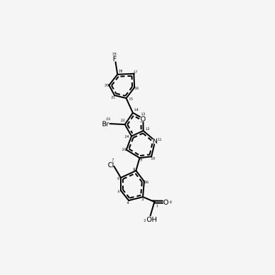 O=C(O)c1ccc(Cl)c(-c2cnc3oc(-c4ccc(F)cc4)c(Br)c3c2)c1